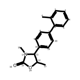 Cc1ccccc1-c1ccc(C2C(C)OC(=O)N2C)cc1